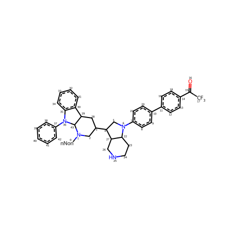 CCCCCCCCCN1CC(C2CN(c3ccc(-c4ccc(C(=O)C(F)(F)F)cc4)cc3)C3CCNCC23)CC2c3ccccc3N(c3ccccc3)C21